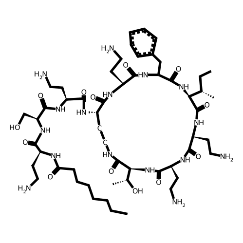 CCCCCCCC(=O)N[C@@H](CCN)C(=O)N[C@@H](CO)C(=O)N[C@@H](CCN)C(=O)N[C@H]1CCNC(=O)[C@H]([C@@H](C)O)NC(=O)[C@H](CCN)NC(=O)[C@H](CCN)NC(=O)[C@H]([C@@H](C)CC)NC(=O)C(Cc2ccccc2)NC(=O)[C@H](CCN)NC1=O